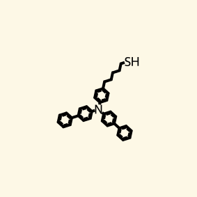 SCCCCCc1ccc(N(c2ccc(-c3ccccc3)cc2)c2ccc(-c3ccccc3)cc2)cc1